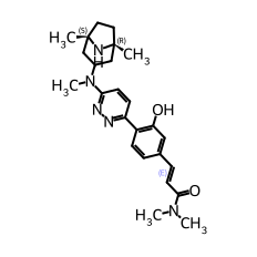 CN(C)C(=O)/C=C/c1ccc(-c2ccc(N(C)C3C[C@]4(C)CC[C@](C)(C3)N4)nn2)c(O)c1